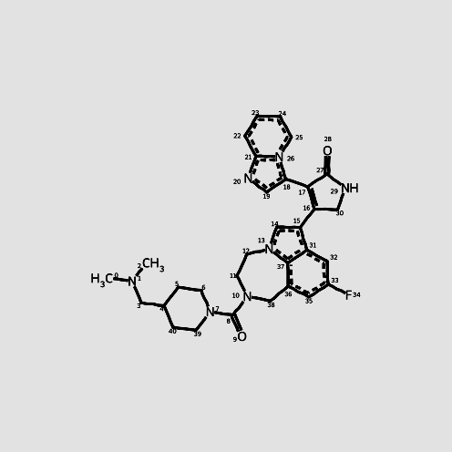 CN(C)CC1CCN(C(=O)N2CCn3cc(C4=C(c5cnc6ccccn56)C(=O)NC4)c4cc(F)cc(c43)C2)CC1